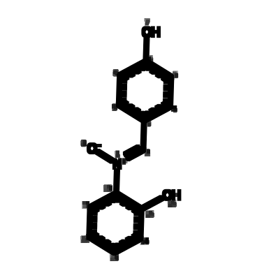 [O-][N+](=Cc1ccc(O)cc1)c1ccccc1O